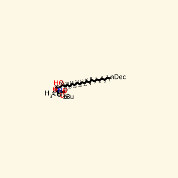 CCCCCCCCCCCCCCCCCCCCCCCCCCCCC[C@@H](O)[C@@H]1COC(C)(C)N1C(=O)OC(C)(C)C